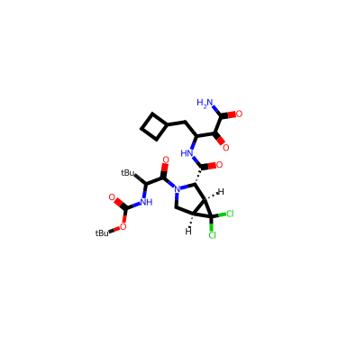 CC(C)(C)OC(=O)NC(C(=O)N1C[C@H]2[C@@H]([C@H]1C(=O)NC(CC1CCC1)C(=O)C(N)=O)C2(Cl)Cl)C(C)(C)C